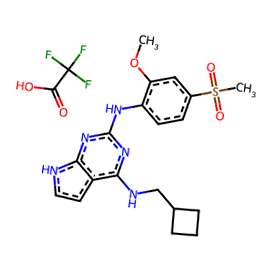 COc1cc(S(C)(=O)=O)ccc1Nc1nc(NCC2CCC2)c2cc[nH]c2n1.O=C(O)C(F)(F)F